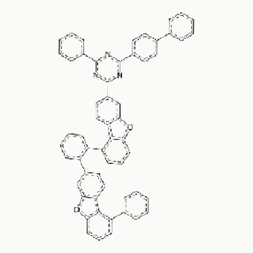 c1ccc(-c2ccc(-c3nc(-c4ccccc4)nc(-c4ccc5c(c4)oc4cccc(-c6ccccc6-c6ccc7c(c6)oc6cccc(-c8ccccc8)c67)c45)n3)cc2)cc1